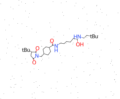 CC(C)(C)CCNC(O)CCCCCNC(=O)C1CCC(CN2C(=O)CC(C(C)(C)C)C2=O)CC1